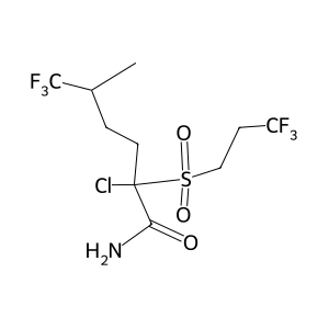 CC(CCC(Cl)(C(N)=O)S(=O)(=O)CCC(F)(F)F)C(F)(F)F